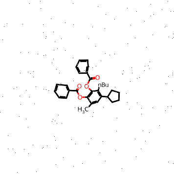 CCCCc1c(C2CCCC2)cc(C)c(OC(=O)c2ccccc2)c1OC(=O)c1ccccc1